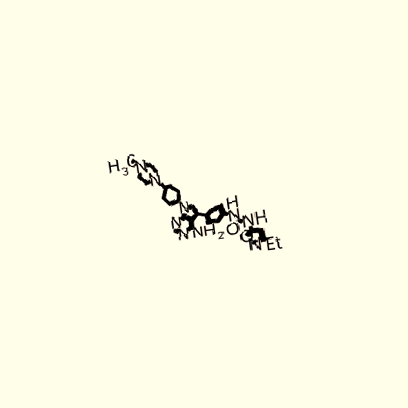 CCc1cc(NC(=O)Nc2ccc(-c3cn(C4CCC(N5CCN(C)CC5)CC4)c4ncnc(N)c34)cc2)on1